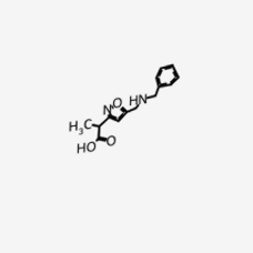 CC(C(=O)O)c1cc(CNCc2ccccc2)on1